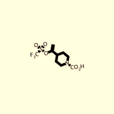 C=C(OS(=O)(=O)C(F)(F)F)C1CCN(C(=O)O)CC1